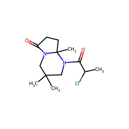 CC(Cl)C(=O)N1CC(C)(C)CN2C(=O)CCC21C